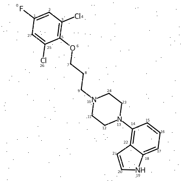 Fc1cc(Cl)c(OCCCN2CCN(c3cccc4[nH]ccc34)CC2)c(Cl)c1